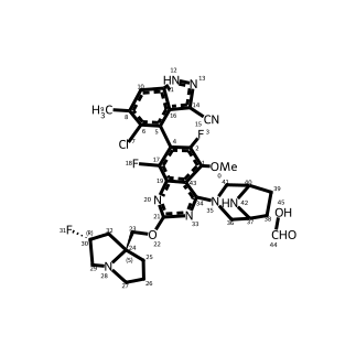 COc1c(F)c(-c2c(Cl)c(C)cc3[nH]nc(C#N)c23)c(F)c2nc(OC[C@@]34CCCN3C[C@H](F)C4)nc(N3CC4CCC(C3)N4)c12.O=CO